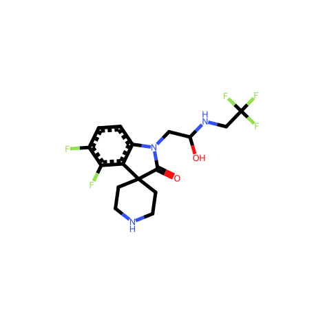 O=C1N(CC(O)NCC(F)(F)F)c2ccc(F)c(F)c2C12CCNCC2